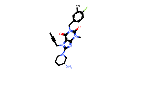 CC#CCn1c(N2CCC[C@@H](N)C2)nc2c1c(=O)n(Cc1ccc(F)c(C#N)c1)c(=O)n2C